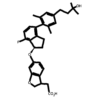 Cc1cc(CCC(C)(C)O)cc(C)c1-c1ccc(F)c2c1CC[C@H]2Oc1ccc2c(c1)OCC2CC(=O)O